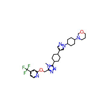 Cn1c(COc2cc(C(F)(F)F)ccn2)nnc1C1CCC(c2cnn(C3CCC(N4CCCOC4)CC3)c2)CC1